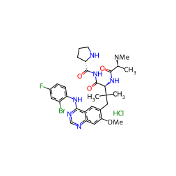 CN[C@@H](C)C(=O)N[C@H](C(=O)NC(=O)[C@@H]1CCCN1)C(C)(C)Cc1cc2c(Nc3ccc(F)cc3Br)ncnc2cc1OC.Cl